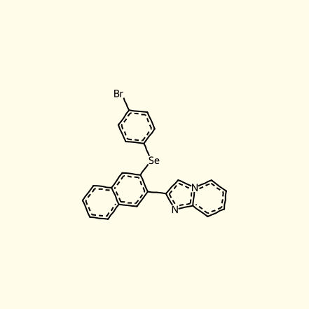 Brc1ccc([Se]c2cc3ccccc3cc2-c2cn3ccccc3n2)cc1